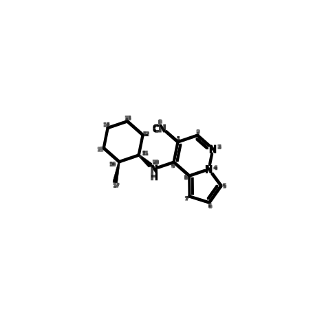 [C-]#[N+]c1cnn2cccc2c1N[C@@H]1CCCC[C@@H]1C